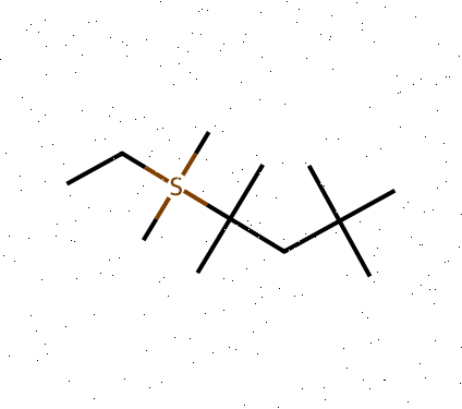 CCS(C)(C)C(C)(C)CC(C)(C)C